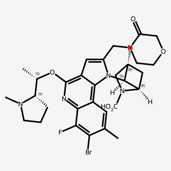 Cc1cc2c(nc(O[C@@H](C)[C@@H]3CCCN3C)c3cc(CN4CCOCC4=O)n([C@H]4[C@@H]5C[C@H]4N(C(=O)O)C5)c32)c(F)c1Br